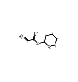 C=CC(=O)OC1CCCOO1